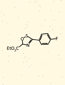 CCOC(=O)C1N=C(c2ccc(F)cc2)SO1